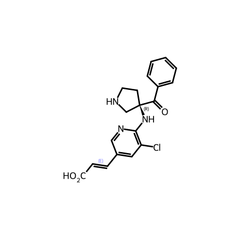 O=C(O)/C=C/c1cnc(N[C@]2(C(=O)c3ccccc3)CCNC2)c(Cl)c1